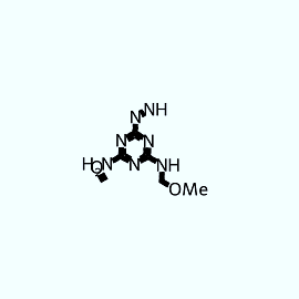 C=O.COCNc1nc(N)nc(N=N)n1